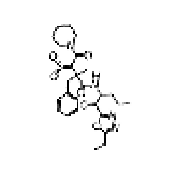 CCCC(NC(=O)C(C)(Cc1ccccc1)C(C(=O)N1CCCCC1)=S(=O)=O)C(=O)c1nnc(CC)o1